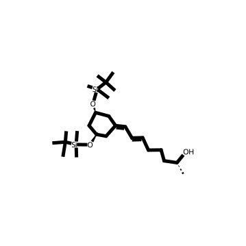 C[C@@H](O)CCCC=CC=C1C[C@@H](O[Si](C)(C)C(C)(C)C)C[C@H](O[Si](C)(C)C(C)(C)C)C1